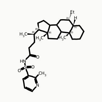 CC[C@H]1CC2C3CC[C@H]([C@H](C)CCC(=O)NS(=O)(=O)c4cccnc4C)[C@@]3(C)CCC2[C@@]2(C)CCCC[C@@H]12